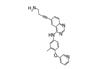 Cc1cc(Nc2ncnc3ccc(C#CCCN)cc23)ccc1Oc1cccnc1